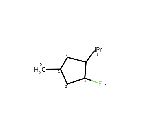 CC1CC(F)C(C(C)C)C1